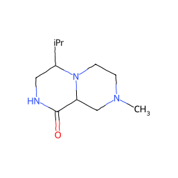 CC(C)C1CNC(=O)C2CN(C)CCN21